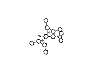 N#Cc1cc(-n2c3ccc(-c4ccccc4)cc3c3cc(-c4ccccc4)ccc32)c(-c2ccc(-n3c4ccccc4c4cccnc43)cc2)cc1-n1c2ccc(-c3ccccc3)cc2c2cc(-c3ccccc3)ccc21